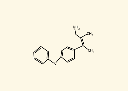 CC(CN)=C(C)c1ccc(Sc2ccccc2)cc1